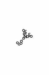 c1ccc2c(c1)ccc1ccc3cc(-c4ccc(N(c5ccc6c(c5)sc5ccccc56)c5ccc6c(c5)sc5ccccc56)cc4)ccc3c12